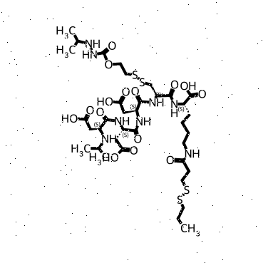 CCCSSCCC(=O)NCCCC[C@H](NC(=O)[C@H](CSSCCOC(=O)NNC(C)C)NC(=O)[C@H](CC(=O)O)NC(=O)[C@H](CC(=O)O)NC(=O)[C@H](CC(=O)O)NC(C)C)C(=O)O